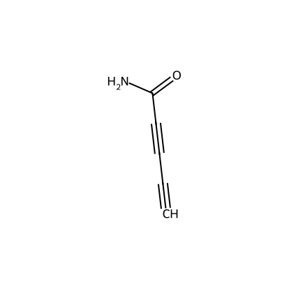 C#CC#CC(N)=O